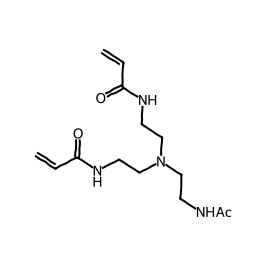 C=CC(=O)NCCN(CCNC(C)=O)CCNC(=O)C=C